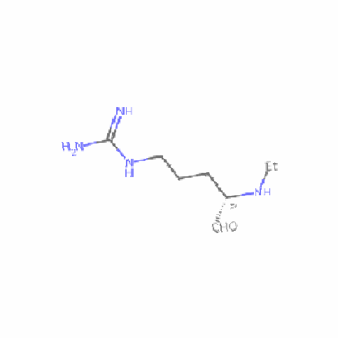 CCN[C@H](C=O)CCCNC(=N)N